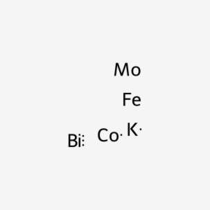 [Bi].[Co].[Fe].[K].[Mo]